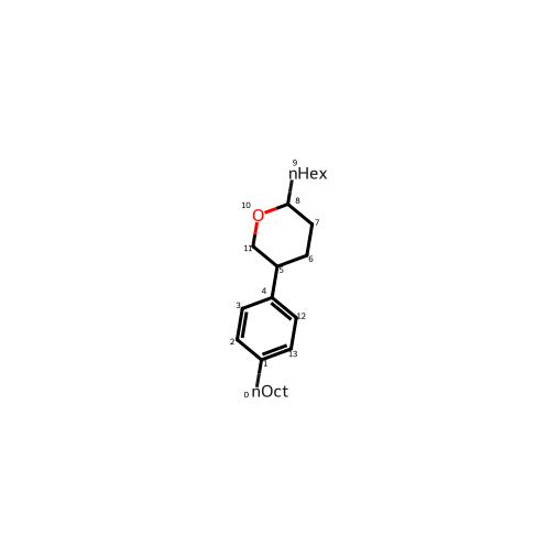 CCCCCCCCc1ccc(C2CCC(CCCCCC)OC2)cc1